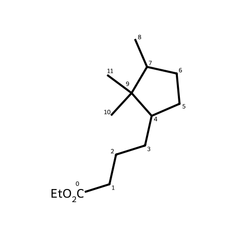 CCOC(=O)CCCC1CCC(C)C1(C)C